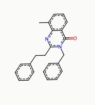 Cc1cccc2c(=O)n(Cc3ccccc3)c(CCc3ccccc3)nc12